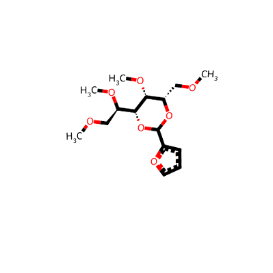 COC[C@@H]1OC(c2ccco2)O[C@H]([C@@H](COC)OC)[C@@H]1OC